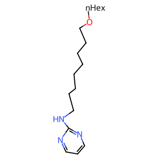 CCCCCCOCCCCCCCCNc1ncccn1